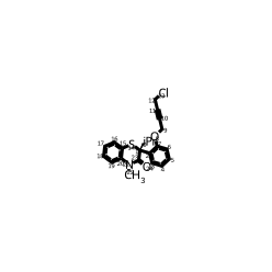 CC(C)[C@]1(c2ccccc2OCC#CCCl)Sc2ccccc2N(C)C1=O